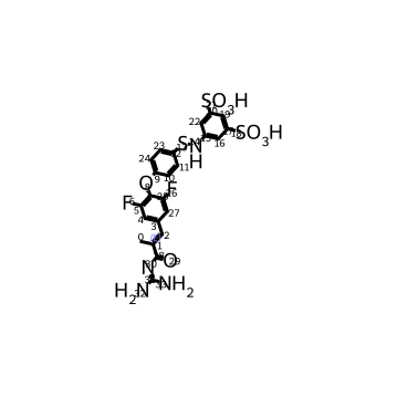 C/C(=C\c1cc(F)c(Oc2ccc(SNc3cc(S(=O)(=O)O)cc(S(=O)(=O)O)c3)cc2)c(F)c1)C(=O)N=C(N)N